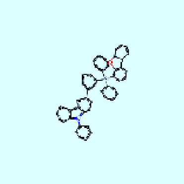 C1=CC2Oc3c(cccc3[Si](c3ccccc3)(c3ccccc3)c3cccc(-c4ccc5c(c4)c4ccccc4n5-c4ccccc4)c3)C2C=C1